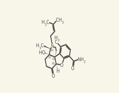 CC(C)=CCN1CC[C@]23c4c(C)ccc(C(N)=O)c4O[C@H]2C(=O)CC[C@@]3(O)[C@H]1C